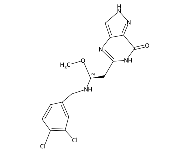 CO[C@@H](Cc1nc2c[nH]nc2c(=O)[nH]1)NCc1ccc(Cl)c(Cl)c1